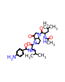 CC(=O)NC(CC(C)C)C(=O)N1CC(=O)C2C1CCN2C(=O)C(CC(C)C)NC(=O)c1ccc(N)cc1